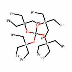 CC(C)C[Si](CC(C)C)(CC(C)C)O[Si](O[Si](CC(C)C)(CC(C)C)CC(C)C)(O[Si](CC(C)C)(CC(C)C)CC(C)C)O[Si](CC(C)C)(CC(C)C)CC(C)C